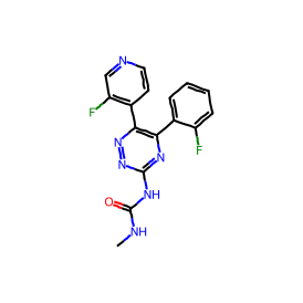 CNC(=O)Nc1nnc(-c2ccncc2F)c(-c2ccccc2F)n1